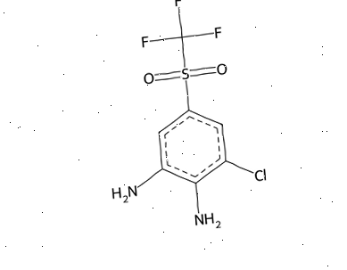 Nc1cc(S(=O)(=O)C(F)(F)F)cc(Cl)c1N